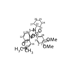 COc1ccc(S(=O)(=O)N(Cc2ccc3c(n2)C=CC(C)(C)O3)C2CCCCC2)cc1OC